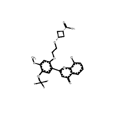 COc1cc(OCCO[C@H]2C[C@@H](C(=O)O)C2)c(-c2cc(=O)c3cccc(Cl)c3o2)cc1OC(F)(F)F